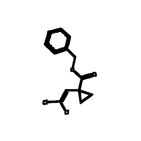 O=C(OCc1ccccc1)C1(C=C(Cl)Cl)CC1